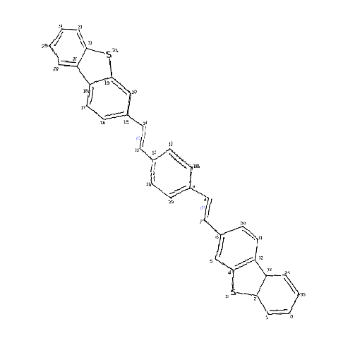 C1=CC2Sc3cc(/C=C/c4ccc(/C=C/c5ccc6c(c5)sc5ccccc56)cc4)ccc3C2C=C1